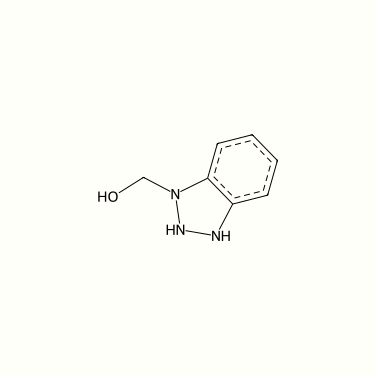 OCN1NNc2ccccc21